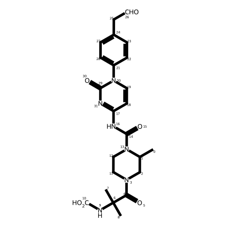 CC1CN(C(=O)C(C)(C)NC(=O)O)CCN1C(=O)Nc1ccn(-c2ccc(CC=O)cc2)c(=O)n1